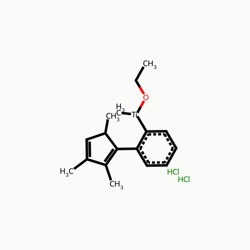 CC[O][Ti]([CH3])[c]1ccccc1C1=C(C)C(C)=CC1C.Cl.Cl